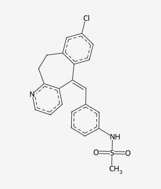 CS(=O)(=O)Nc1cccc(/C=C2/c3ccc(Cl)cc3CCc3ncccc32)c1